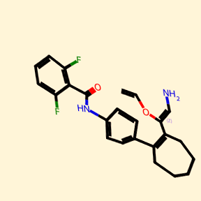 C=CO/C(=C\N)C1=C(c2ccc(NC(=O)c3c(F)cccc3F)cc2)CCCCC1